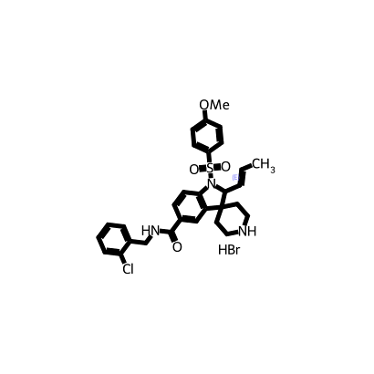 Br.C/C=C/C1N(S(=O)(=O)c2ccc(OC)cc2)c2ccc(C(=O)NCc3ccccc3Cl)cc2C12CCNCC2